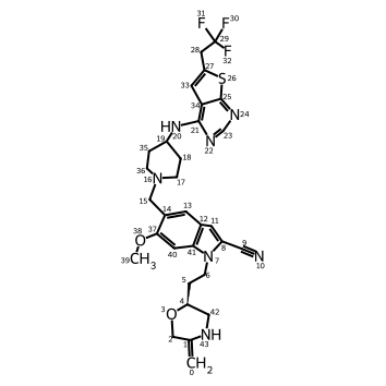 C=C1CO[C@@H](CCn2c(C#N)cc3cc(CN4CCC(Nc5ncnc6sc(CC(F)(F)F)cc56)CC4)c(OC)cc32)CN1